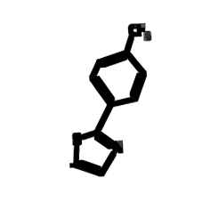 FC(F)(F)c1ccc(-c2nc[c]s2)cc1